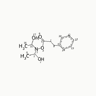 CC(O)N(OC(=O)CCc1ccccc1)C(C)O